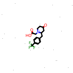 O=C(O)CN1CCC(=O)CC1Cc1ccc(C(F)(F)F)cc1